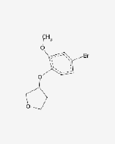 COc1cc(Br)ccc1OC1CCOC1